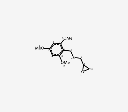 COc1cc(OC)c(CSCC2CO2)c(OC)c1